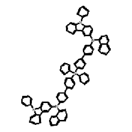 c1ccc(-n2c3ccccc3c3cc(N(c4ccc(-c5ccc([Si](c6ccccc6)(c6ccccc6)c6ccc(-c7ccc(N(c8ccc9c(c8)c8ccccc8n9-c8ccccc8)c8cccc9ccccc89)cc7)cc6)cc5)cc4)c4cccc5ccccc45)ccc32)cc1